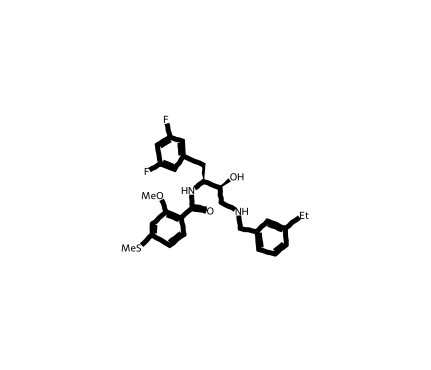 CCc1cccc(CNC[C@H](O)[C@H](Cc2cc(F)cc(F)c2)NC(=O)c2ccc(SC)cc2OC)c1